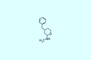 CNC1CC(Cc2ccccc2)CCO1